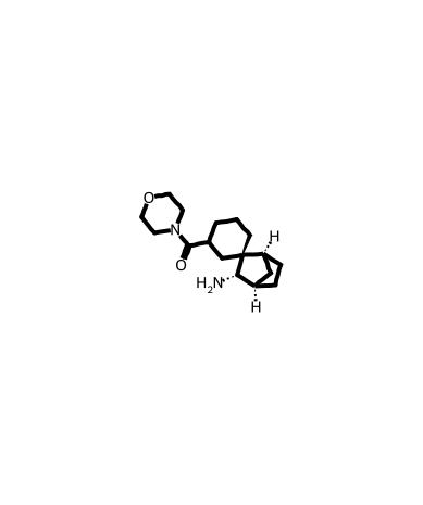 N[C@H]1[C@@H]2CC[C@@H](C2)[C@]12CCCC(C(=O)N1CCOCC1)C2